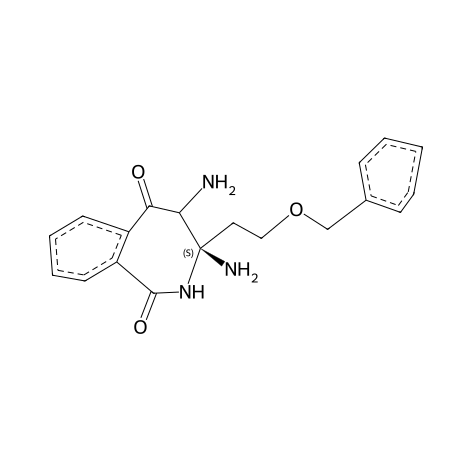 NC1C(=O)c2ccccc2C(=O)N[C@@]1(N)CCOCc1ccccc1